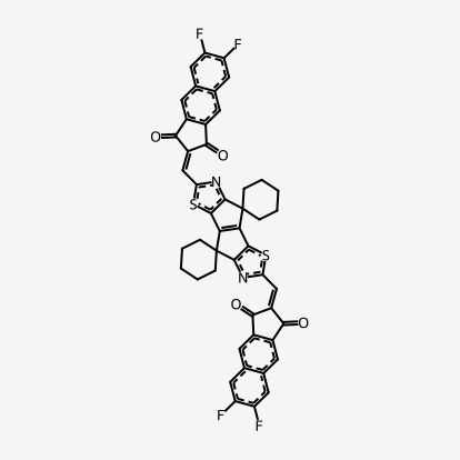 O=C1C(=Cc2nc3c(s2)C2=C(c4sc(C=C5C(=O)c6cc7cc(F)c(F)cc7cc6C5=O)nc4C24CCCCC4)C32CCCCC2)C(=O)c2cc3cc(F)c(F)cc3cc21